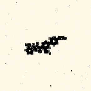 COc1ccc(-c2ccc(C(=O)N[C@](C)(C(=O)O)C3CCCC3)c(N)c2)cc1